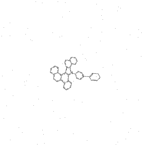 C1=CC(c2ccc(-n3c4c5ccccc5ccc4c4c5c6ccccc6ccc5c5ccccc5c43)cc2)=CCC1